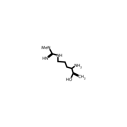 C=C(O)C(N)CCCNC(=N)NC